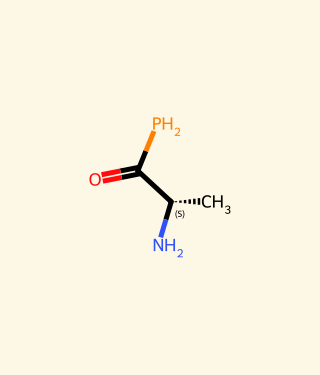 C[C@H](N)C(=O)P